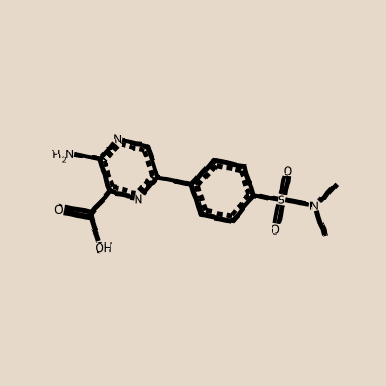 CN(C)S(=O)(=O)c1ccc(-c2cnc(N)c(C(=O)O)n2)cc1